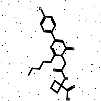 CCCCCc1nc(-c2ccc(Cl)cc2)cc(=O)n1CC(=O)NC1(C(=O)O)CCC1